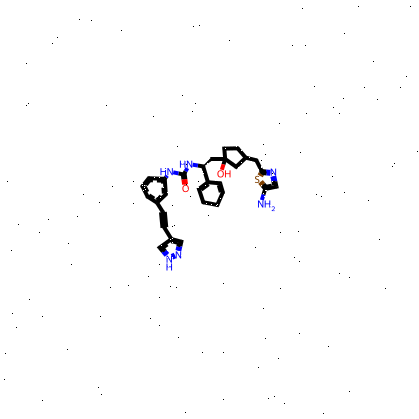 Nc1cnc(CC2CCC(O)(C[C@H](NC(=O)Nc3cccc(C#Cc4cn[nH]c4)c3)C3=CCCC=C3)C2)s1